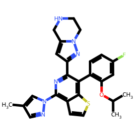 Cc1cnn(-c2nc(-c3cc4n(n3)CCNC4)c(-c3ccc(F)cc3OC(C)C)c3sccc23)c1